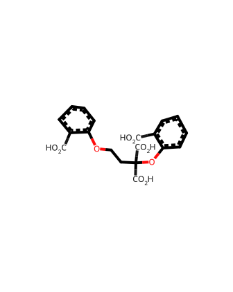 O=C(O)c1ccccc1OCCC(Oc1ccccc1C(=O)O)(C(=O)O)C(=O)O